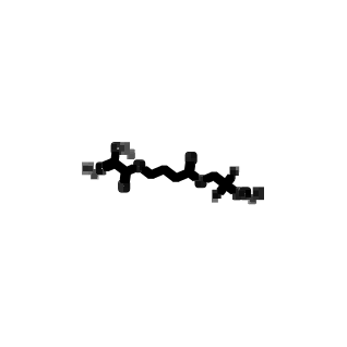 C=C(C)C(=O)OCCCC(=O)OCC(F)(F)S(=O)(=O)O